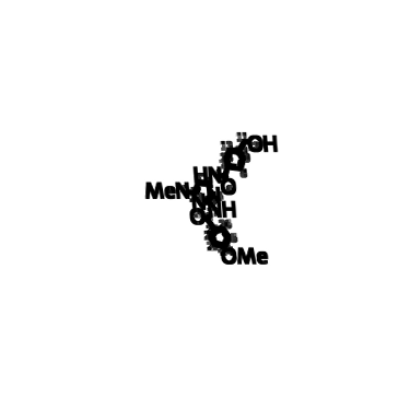 CNc1cc(NC(=O)c2ccc(CO)cc2)nc(NC(=O)c2ccc(OC)cc2)n1